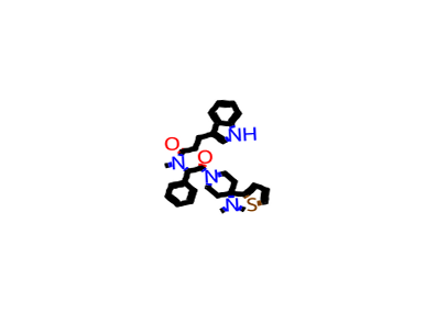 CN(C(=O)CCc1c[nH]c2ccccc12)C(C(=O)N1CCC(c2cccs2)(N(C)C)CC1)c1ccccc1